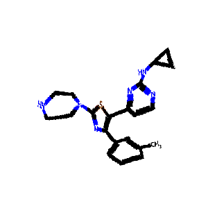 Cc1cccc(-c2nc(N3CCNCC3)sc2-c2ccnc(NC3CC3)n2)c1